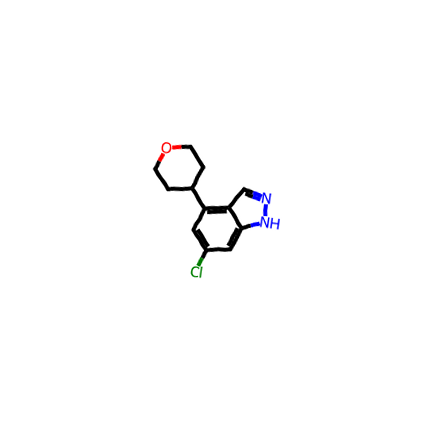 Clc1cc(C2CCOCC2)c2cn[nH]c2c1